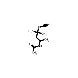 CC(=O)NC(C)CC(C)(C)SC#N